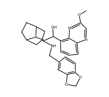 COc1cnc2cccc(C(O)CN3C4CCC3CC(NCc3ccc5c(c3)OCO5)C4)c2n1